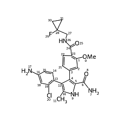 COc1cc(-c2c(C(N)=O)[nH]c(C)c2-c2ccc(N)cc2Cl)ccc1C(=O)NCC1(F)CC1